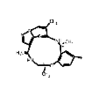 C=C1NC[C@H](C)Oc2ccc(F)cc2[C@@H](C)Nc2nc3c1cnn3cc2C